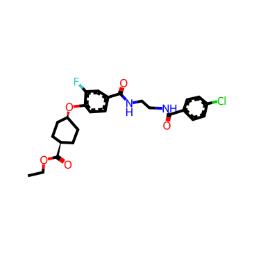 CCOC(=O)[C@H]1CC[C@@H](Oc2ccc(C(=O)NCCNC(=O)c3ccc(Cl)cc3)cc2F)CC1